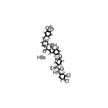 Br.CCN(C(=O)Nc1ccc(Cl)c(Cl)c1)c1ccc(Oc2ccc3c(c2)cc(C(=O)N2CCN(Cc4ccc5c(c4)OCO5)CC2)n3C)nc1